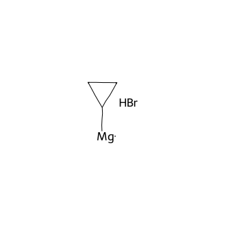 Br.[Mg][CH]1CC1